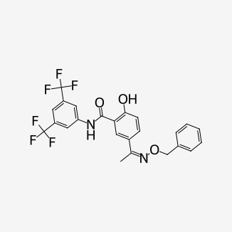 CC(=NOCc1ccccc1)c1ccc(O)c(C(=O)Nc2cc(C(F)(F)F)cc(C(F)(F)F)c2)c1